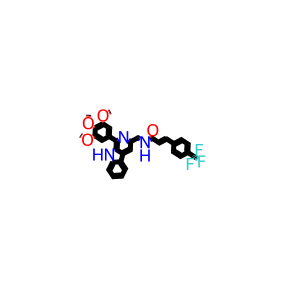 COc1cc(-c2nc(CNC(=O)/C=C/c3ccc(C(F)(F)F)cc3)cc3c2[nH]c2ccccc23)cc(OC)c1OC